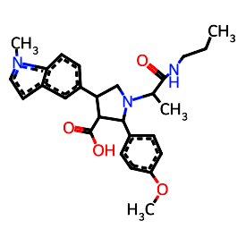 CCCNC(=O)C(C)N1CC(c2ccc3c(ccn3C)c2)C(C(=O)O)C1c1ccc(OC)cc1